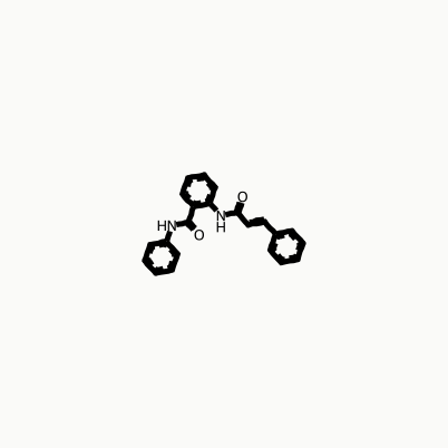 O=C(C=Cc1ccccc1)Nc1ccccc1C(=O)Nc1ccccc1